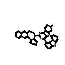 CC1C=Cc2c(oc3c(-c4cccc5sc6ccccc6c45)nc(C4CCc5cc6ccccc6cc5-c5ccccc54)nc23)C1